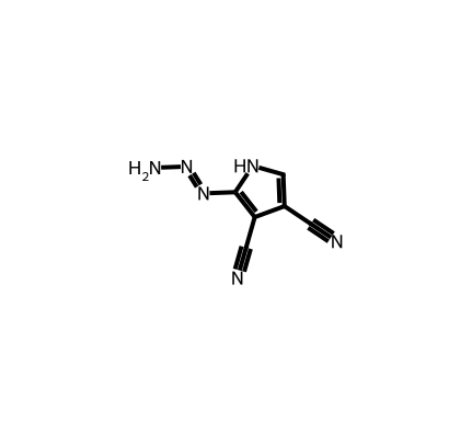 N#Cc1c[nH]c(N=NN)c1C#N